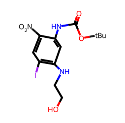 CC(C)(C)OC(=O)Nc1cc(NCCO)c(I)cc1[N+](=O)[O-]